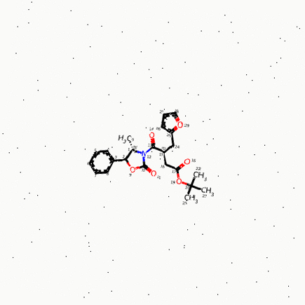 C[C@H]1C(c2ccccc2)OC(=O)N1C(=O)[C@H](CC(=O)OC(C)(C)C)Cc1ccco1